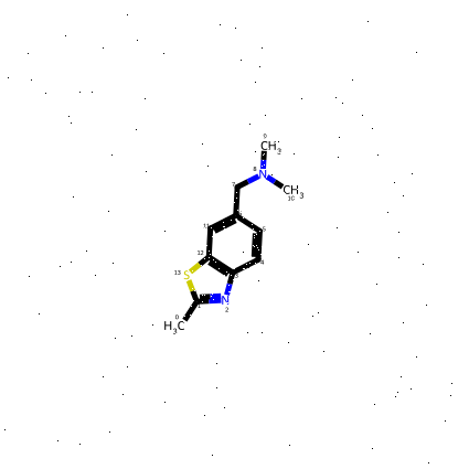 Cc1nc2ccc(CN(C)C)cc2s1